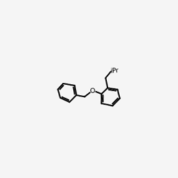 CC(C)Cc1ccccc1OCc1ccccc1